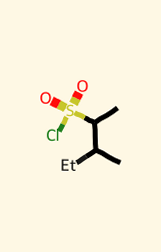 CCC(C)C(C)S(=O)(=O)Cl